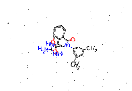 Cc1cc(C)cc(-n2c(=O)c3cccc4oc(=O)c2c(NC(=N)N)c43)c1